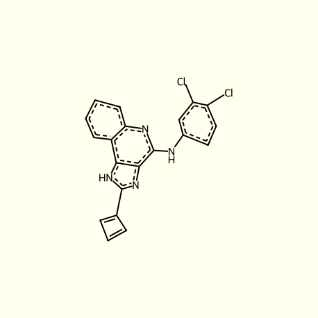 Clc1ccc(Nc2nc3ccccc3c3[nH]c(C4=CC=C4)nc23)cc1Cl